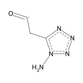 Nn1nnnc1C[C]=O